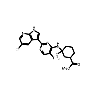 COC(=O)C1CCCC(C)(Nc2nc(-c3c[nH]c4ncc(Cl)cc34)ncc2F)C1